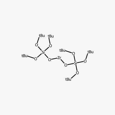 CC(C)(C)O[Si]([O][Zr][O][Si](OC(C)(C)C)(OC(C)(C)C)OC(C)(C)C)(OC(C)(C)C)OC(C)(C)C